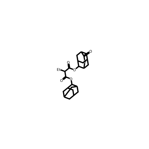 CCC(C(=O)OC1C2CC3CC(C2)CC1C3)C(=O)OC1C2CC3CC(C2)C(=O)OC1C3